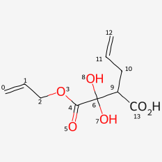 C=CCOC(=O)C(O)(O)C(CC=C)C(=O)O